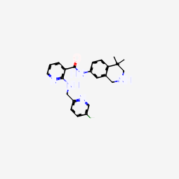 CC1(C)CNCc2cc(NC(=O)c3cccnc3NCc3ccc(F)cn3)ccc21